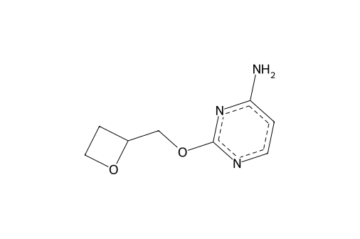 Nc1ccnc(OCC2CCO2)n1